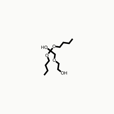 CCCCOC(O)(COCCO)OCCCC